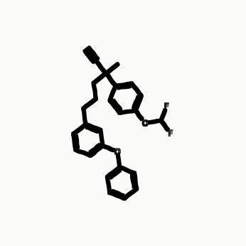 C#CC(C)(CCCc1cccc(Oc2ccccc2)c1)c1ccc(OC(F)F)cc1